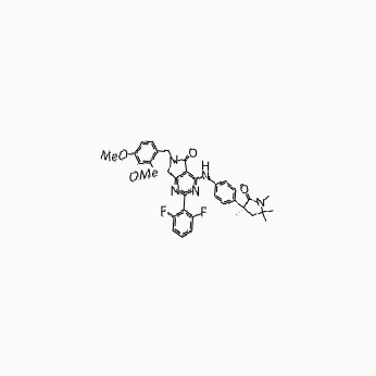 COc1ccc(CN2Cc3nc(-c4c(F)cccc4F)nc(Nc4ccc([C@]5(C)CC(C)(C)N(C)C5=O)cc4)c3C2=O)c(OC)c1